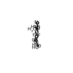 C[C@@H](NC(=O)c1cccnc1)C(=O)N1CCN(c2c(F)cc(N3C[C@H](CNC(=O)O)OC3=O)cc2F)CC1